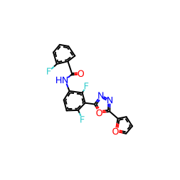 O=C(Nc1ccc(F)c(-c2nnc(-c3ccco3)o2)c1F)c1ccccc1F